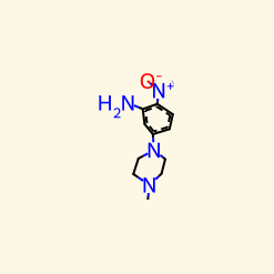 C=[N+]([O-])c1ccc(N2CCN(C)CC2)cc1N